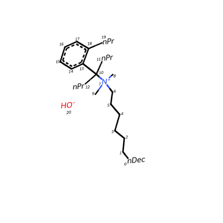 CCCCCCCCCCCCCCCC[N+](C)(C)C(CCC)(CCC)c1ccccc1CCC.[OH-]